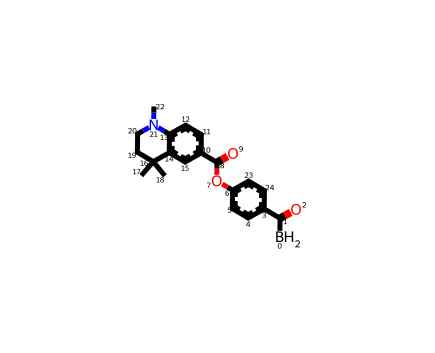 BC(=O)c1ccc(OC(=O)c2ccc3c(c2)C(C)(C)CCN3C)cc1